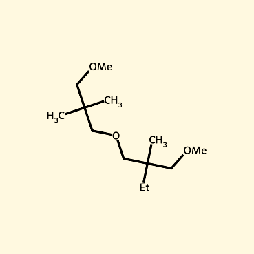 CCC(C)(COC)COCC(C)(C)COC